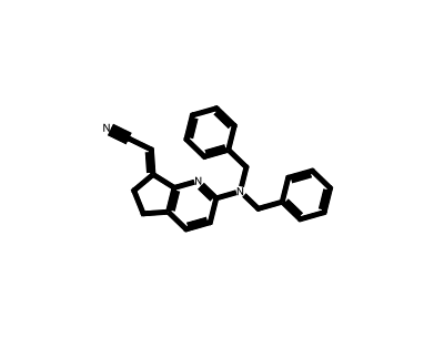 N#CC=C1CCc2ccc(N(Cc3ccccc3)Cc3ccccc3)nc21